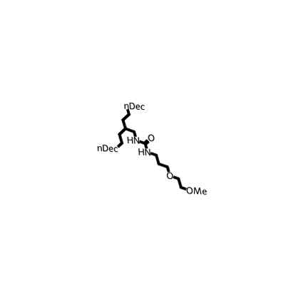 CCCCCCCCCCCCC(CCCCCCCCCCCC)CNC(=O)NCCCOCCOC